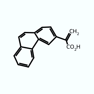 C=C(C(=O)O)c1ccc2ccc3ccccc3c2c1